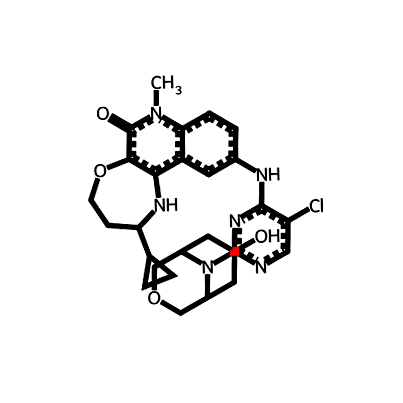 Cn1c(=O)c2c(c3cc(Nc4nc(N5C6COCC5CC(O)C6)ncc4Cl)ccc31)NC(C1CC1)CCO2